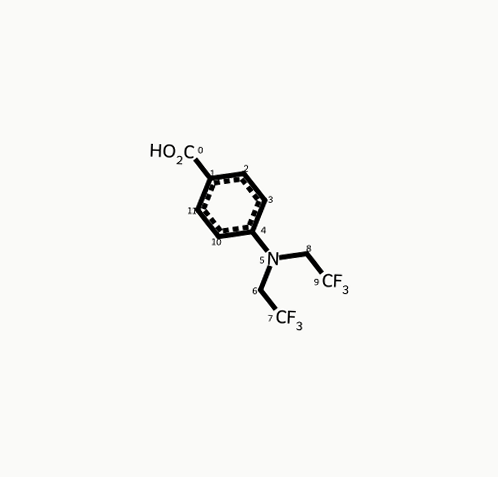 O=C(O)c1ccc(N(CC(F)(F)F)CC(F)(F)F)cc1